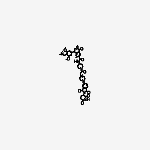 COc1cc(-c2cn(C)c(=O)c3cc(C(=O)NC4CCN(C(=O)CN5CCN(c6ccc7c(c6)C(=O)N(C6CCC(=O)NC6=O)C7=O)CC5)CC4)sc23)cc(OC)c1CN(C)C